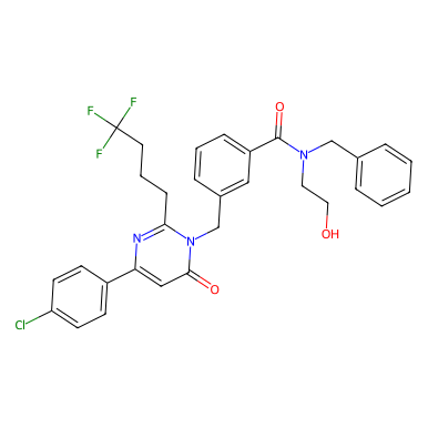 O=C(c1cccc(Cn2c(CCCC(F)(F)F)nc(-c3ccc(Cl)cc3)cc2=O)c1)N(CCO)Cc1ccccc1